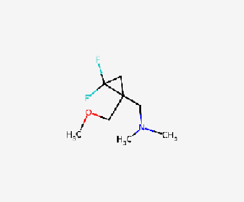 COCC1(CN(C)C)CC1(F)F